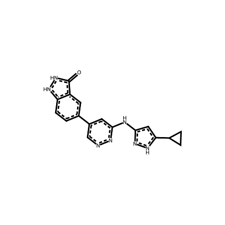 O=c1[nH][nH]c2ccc(-c3cnnc(Nc4cc(C5CC5)[nH]n4)c3)cc12